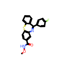 CONC(=O)c1ccc2c(c1)N=C(c1ccc(F)cc1)c1ccccc1S2